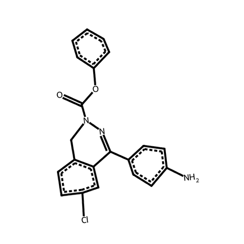 Nc1ccc(C2=NN(C(=O)Oc3ccccc3)Cc3ccc(Cl)cc32)cc1